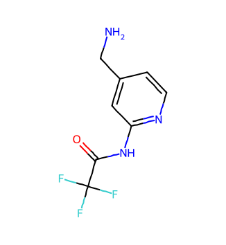 NCc1ccnc(NC(=O)C(F)(F)F)c1